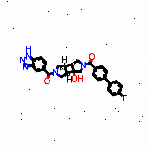 O=C(c1ccc2[nH]nnc2c1)N1C[C@@H]2C3CN(C(=O)c4ccc(-c5ccc(F)cc5)cc4)CC3(O)[C@@H]2C1